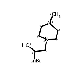 CCCCC(O)CN1CCN(C)CC1